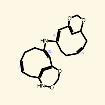 C1=C2C/C=C\CC/C(N/C3=C/C4=CC(C/C=C\CC3)OCO4)=C\C=1OCON2